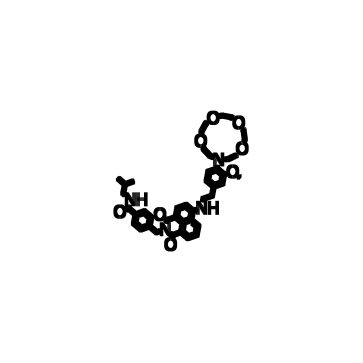 COc1cc(CCNc2ccc3c4c(cccc24)C(=O)N(Cc2ccc(C(=O)NCC(C)C)cc2)C3=O)ccc1N1CCOCCOCCOCCOCC1